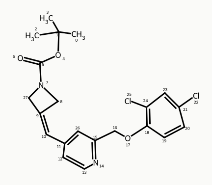 CC(C)(C)OC(=O)N1CC(=Cc2ccnc(COc3ccc(Cl)cc3Cl)c2)C1